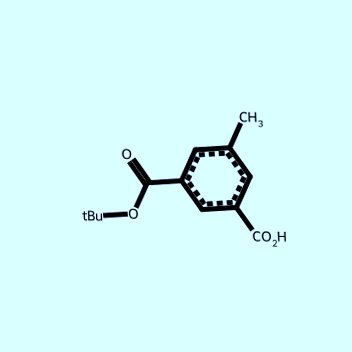 Cc1cc(C(=O)O)cc(C(=O)OC(C)(C)C)c1